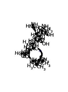 CC(=O)N[C@@]1(C)CCC/C=C\CCC[C@@](C)(C(=O)N[C@@H](C)C(=O)N[C@@H](N[C@@H](C=O)CC(=O)O)C(=O)N[C@@H](N[C@@H](C=O)CCCNC(=N)N)C(=O)N[C@@H](N[C@@H](C=O)CO)C(=O)N[C@@H](C)C(N)=O)NC(=O)[C@H](N[C@@H](C=O)CC(=O)O)NC(=O)CNC(=O)[C@H](N[C@@H](C=O)C(C)C)NC1=O